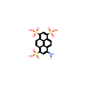 O=S(=O)(O)c1cc(NI)c2ccc3c(S(=O)(=O)O)cc(S(=O)(=O)O)c4ccc1c2c34